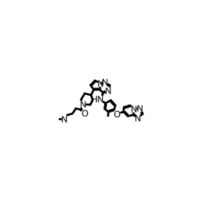 Cc1cc(Nc2ncnn3ccc(C4CCN(C(=O)CCCN(C)C)CC4)c23)ccc1Oc1ccn2ncnc2c1